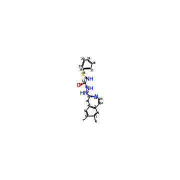 Cc1cc2c(cc1C)CC(NNC(=O)NSc1ccccc1)=NC=C2